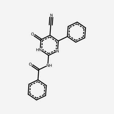 N#Cc1c(-c2ccccc2)nc(NC(=O)c2ccccc2)[nH]c1=O